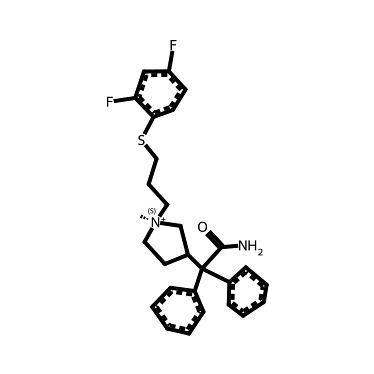 C[N@@+]1(CCCSc2ccc(F)cc2F)CCC(C(C(N)=O)(c2ccccc2)c2ccccc2)C1